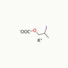 CC(I)COC(=O)[O-].[K+]